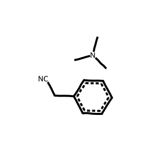 CN(C)C.N#CCc1ccccc1